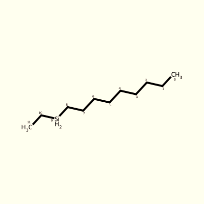 CCCCCCCCC[SiH2]CC